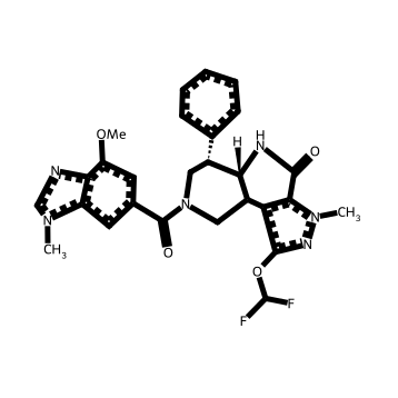 COc1cc(C(=O)N2CC3c4c(OC(F)F)nn(C)c4C(=O)N[C@H]3[C@@H](c3ccccc3)C2)cc2c1ncn2C